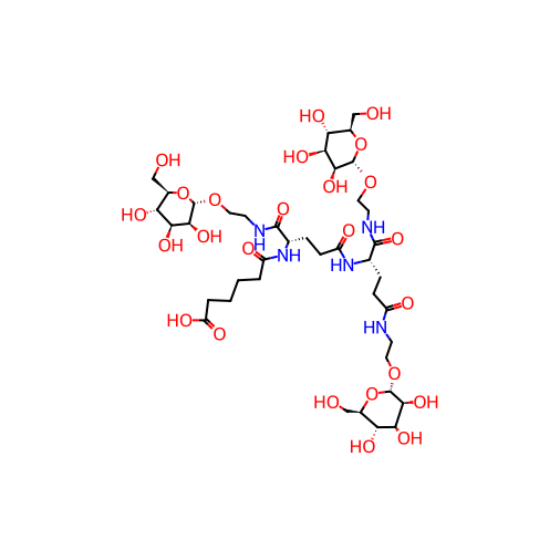 O=C(O)CCCCC(=O)N[C@@H](CCC(=O)N[C@@H](CCC(=O)NCCO[C@H]1O[C@H](CO)[C@@H](O)[C@H](O)[C@@H]1O)C(=O)NCCO[C@H]1O[C@H](CO)[C@@H](O)[C@H](O)[C@@H]1O)C(=O)NCCO[C@H]1O[C@H](CO)[C@@H](O)[C@H](O)[C@@H]1O